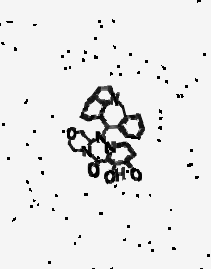 O=C1c2c(O)c(=O)ccn2N(C2c3ccccc3Cn3ccc4cccc2c43)C2COCCN12